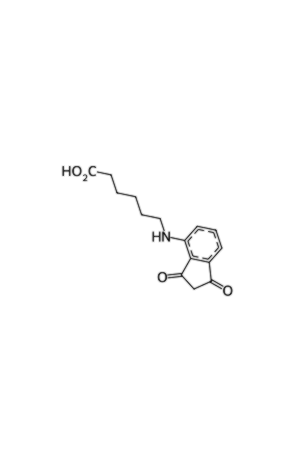 O=C(O)CCCCCNc1cccc2c1C(=O)CC2=O